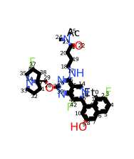 CCc1c(F)ccc2cc(O)cc(-c3ncc4c(NCCCC(=O)N(C)C(C)=O)nc(OC[C@@]56CCCN5C[C@H](F)C6)nc4c3F)c12